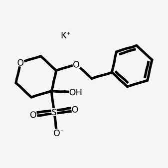 O=S(=O)([O-])C1(O)CCOCC1OCc1ccccc1.[K+]